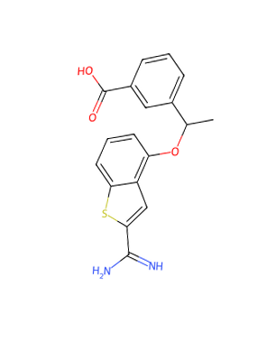 CC(Oc1cccc2sc(C(=N)N)cc12)c1cccc(C(=O)O)c1